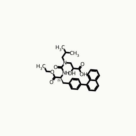 CCOC(=O)[C@H](Cc1ccc(-c2cccc3ccccc23)cc1)NC(=O)N(CC(C)C)CC(O)C(=O)O